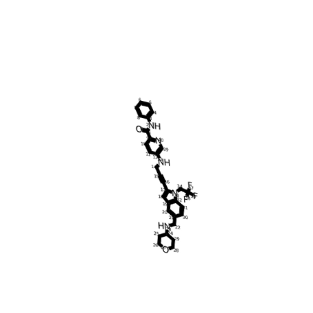 O=C(Nc1ccccc1)c1ccc(NCC#Cc2cc3cc(CNC4CCOCC4)ccc3n2CC(F)(F)F)cn1